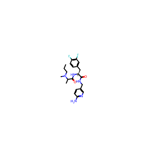 CCCN(C)C(C)C(=O)N[C@@H](Cc1ccc(F)c(F)c1)C(=O)NCc1ccc(N)nc1